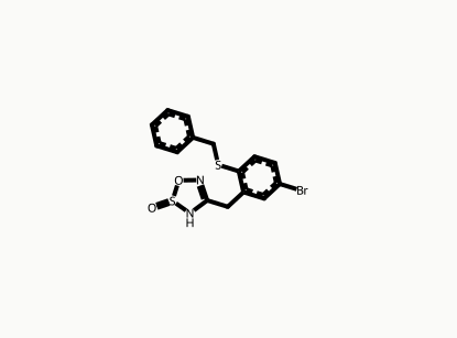 O=S1NC(Cc2cc(Br)ccc2SCc2ccccc2)=NO1